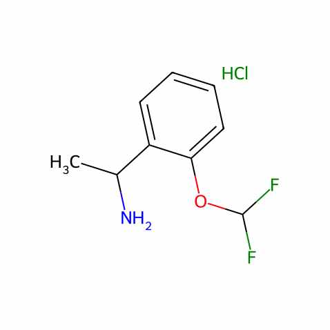 CC(N)c1ccccc1OC(F)F.Cl